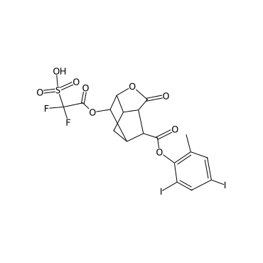 Cc1cc(I)cc(I)c1OC(=O)C1C2CC3C(OC(=O)C31)C2OC(=O)C(F)(F)S(=O)(=O)O